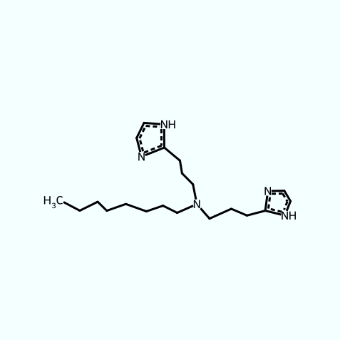 CCCCCCCCN(CCCc1ncc[nH]1)CCCc1ncc[nH]1